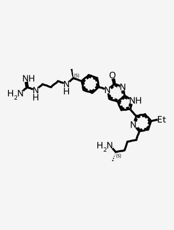 CCc1cc(CCC[C@H](C)N)nc(-c2cc3cn(-c4ccc([C@H](C)NCCCNC(=N)N)cc4)c(=O)nc3[nH]2)c1